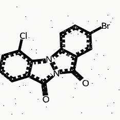 O=c1c2cc(Br)ccc2n2c3c(Cl)cccc3c(=O)n12